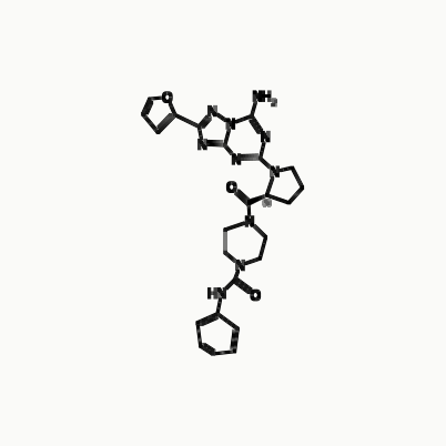 Nc1nc(N2CCC[C@H]2C(=O)N2CCN(C(=O)Nc3ccccc3)CC2)nc2nc(-c3ccco3)nn12